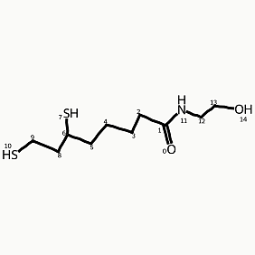 O=C(CCCCC(S)CCS)NCCO